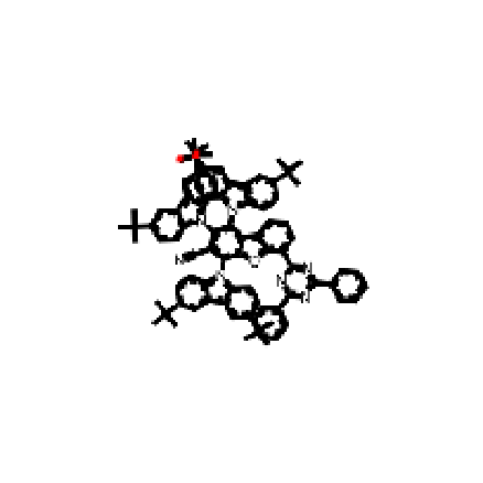 CC(C)(C)c1ccc2c(c1)c1cc(C(C)(C)C)ccc1n2-c1c(C#N)c(-n2c3ccc(C(C)(C)C)cc3c3cc(C(C)(C)C)ccc32)c2oc3c(-c4nc(-c5ccccc5)nc(-c5ccccc5)n4)cccc3c2c1-n1c2ccc(C(C)(C)C)cc2c2cc(C(C)(C)C)ccc21